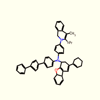 CCCC1=C(C)c2ccccc2CN1c1ccc(N(c2ccc(-c3ccc(-c4ccccc4)cc3)cc2)C2CC(C3=CCCCC3)=CC3=C2OC2C=CC=CC32)cc1